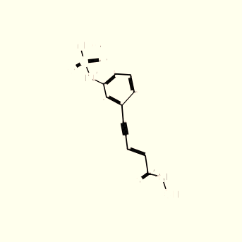 CCCCCCS(=O)(=O)Nc1cccc(C#C/C=C/C(=O)NO)c1